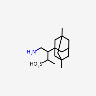 CC(C(CN)C12CC3CC(C)(CC(C)(C3)C1)C2)S(=O)(=O)O